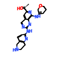 C[C@@H](O)c1cc2cnc(Nc3ccc4c(n3)CCNC4)nc2c(N[C@H]2CCCOC2)n1